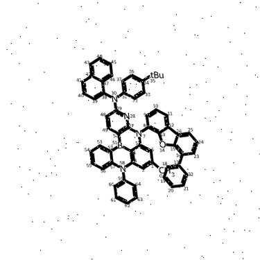 Cc1cc2c3c(c1)N(c1cccc4c1oc1c(-c5ccccc5)cccc14)c1nc(N(c4ccc(C(C)(C)C)cc4)c4cccc5ccccc45)ccc1B3c1ccccc1N2c1ccccc1